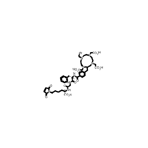 CC(C)CN1CCN(CC(=O)O)CCN(CC(=O)O)CC(Cc2ccc(C(=O)N[C@@H](Cc3ccccc3)C(=O)NCC(=O)N[C@@H](CCCCN3C(=O)C=CC3=O)C(=O)O)cc2)N(CC(=O)O)CC1